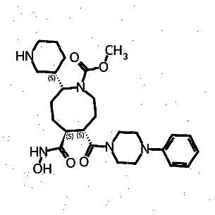 COC(=O)N1CC[C@H](C(=O)N2CCN(c3ccccc3)CC2)[C@@H](C(=O)NO)CCC1[C@H]1CCCNC1